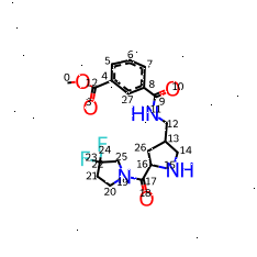 COC(=O)c1cccc(C(=O)NCC2CNC(C(=O)N3CCC(F)(F)C3)C2)c1